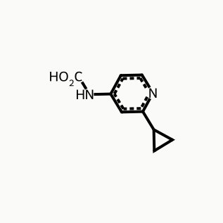 O=C(O)Nc1ccnc(C2CC2)c1